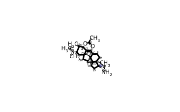 CC(=O)O[C@@H]1C2=CC3=CC[C@]4(C)/C(=N/N)CC[C@H]4[C@@]34CCC2(C[C@H](N(C)C)[C@H]1C)O4